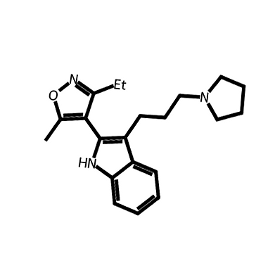 CCc1noc(C)c1-c1[nH]c2ccccc2c1CCCN1CCCC1